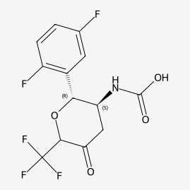 O=C(O)N[C@H]1CC(=O)C(C(F)(F)F)O[C@@H]1c1cc(F)ccc1F